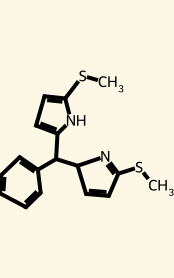 CSC1=NC(C(c2ccccc2)c2ccc(SC)[nH]2)C=C1